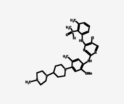 CCP(C)(=O)c1c(C)cccc1Nc1nc(Nc2cc(C)c(N3CCC(N4CCN(C)CC4)CC3)cc2OC)ncc1Cl